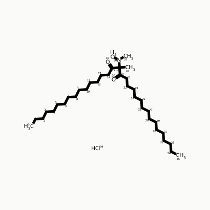 CCCCCCCCCCCCCCCC(=O)C(C)(C(=O)CCCCCCCCCCCCCCC)N(C)C.Cl